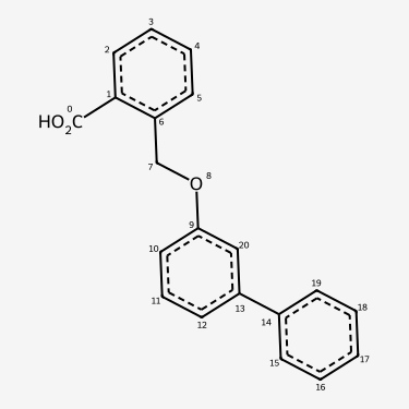 O=C(O)c1ccccc1COc1cccc(-c2ccccc2)c1